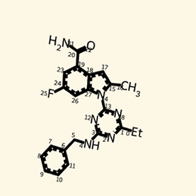 CCc1nc(NCc2ccccc2)nc(-n2c(C)cc3c(C(N)=O)cc(F)cc32)n1